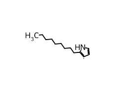 CCCCCCCCCc1[c]cc[nH]1